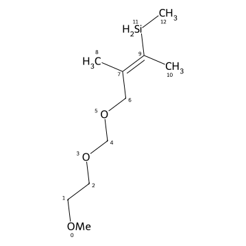 COCCOCOC/C(C)=C(\C)[SiH2]C